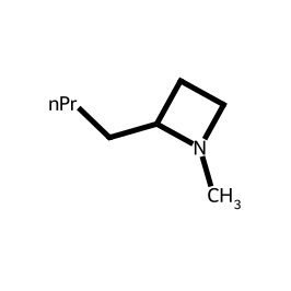 CCCCC1CCN1C